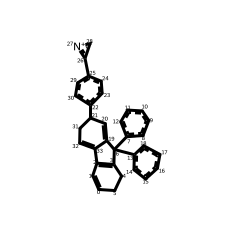 C1=CC2=C(CC1)C(c1ccccc1)(c1ccccc1)C1=CC(c3ccc(C4=[N+]=C4)cc3)CC=C12